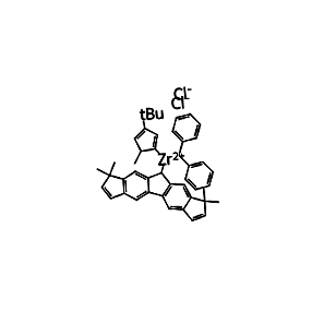 CC1C=C(C(C)(C)C)C=[C]1[Zr+2](=[C](c1ccccc1)c1ccccc1)[CH]1c2cc3c(cc2-c2cc4c(cc21)C(C)(C)C=C4)C=CC3(C)C.[Cl-].[Cl-]